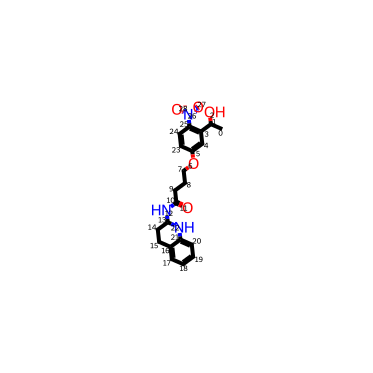 CC(O)c1cc(OCCCC(=O)NC2CCc3ccccc3N2)ccc1[N+](=O)[O-]